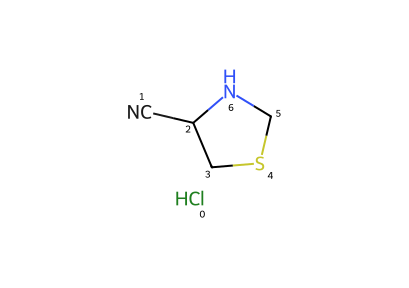 Cl.N#CC1CSCN1